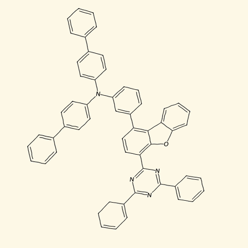 C1=CCCC(c2nc(-c3ccccc3)nc(-c3ccc(-c4cccc(N(c5ccc(-c6ccccc6)cc5)c5ccc(-c6ccccc6)cc5)c4)c4c3oc3ccccc34)n2)=C1